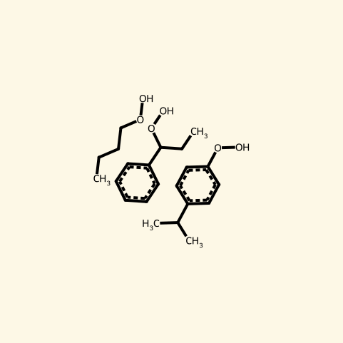 CC(C)c1ccc(OO)cc1.CCC(OO)c1ccccc1.CCCCOO